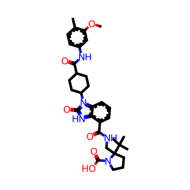 COc1cc(NC(=O)C2CCC(n3c(=O)[nH]c4c(C(=O)NCC5(C(C)(C)C)CCCN5C(=O)O)cccc43)CC2)ccc1C